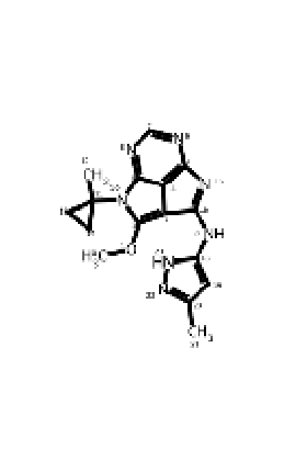 COc1c2c3c(ncnc3n1C1(C)CC1)N=C2Nc1cc(C)n[nH]1